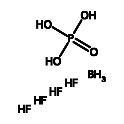 B.F.F.F.F.O=P(O)(O)O